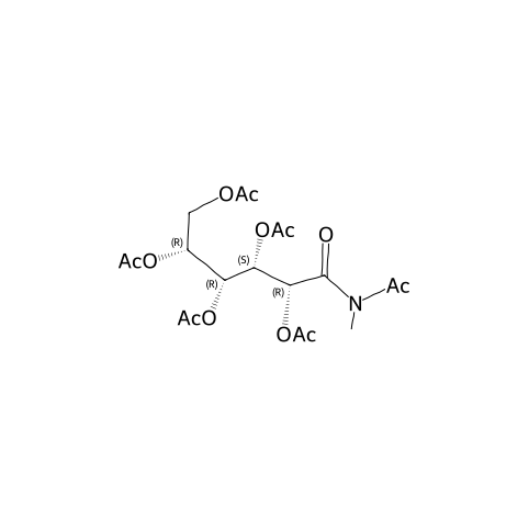 CC(=O)OC[C@@H](OC(C)=O)[C@@H](OC(C)=O)[C@H](OC(C)=O)[C@@H](OC(C)=O)C(=O)N(C)C(C)=O